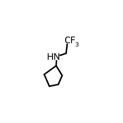 FC(F)(F)CNC1CCCC1